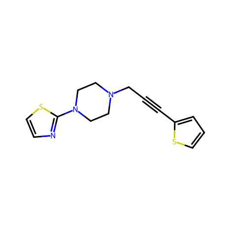 C(#Cc1cccs1)CN1CCN(c2nccs2)CC1